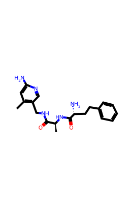 Cc1cc(N)ncc1CNC(=O)[C@H](C)NC(=O)[C@H](N)CCc1ccccc1